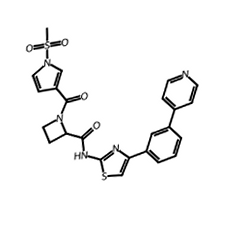 CS(=O)(=O)n1ccc(C(=O)N2CCC2C(=O)Nc2nc(-c3cccc(-c4ccncc4)c3)cs2)c1